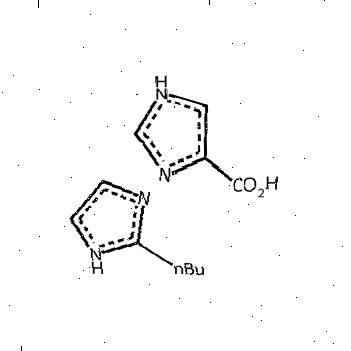 CCCCc1ncc[nH]1.O=C(O)c1c[nH]cn1